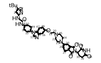 CC(C)(C)c1cc(NC(=O)Nc2ccc(-n3cnc4cc(OCCN5CCN(c6ccc7c(c6)C(=O)N(C6CCC(=O)NC6=O)C7=O)CC5)ccc43)cc2)no1